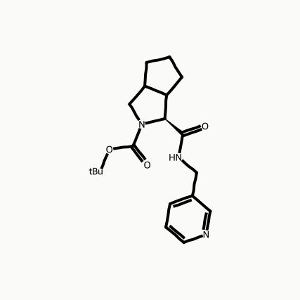 CC(C)(C)OC(=O)N1CC2CCCC2[C@H]1C(=O)NCc1cccnc1